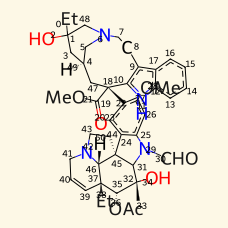 CCC1(O)C[C@H]2CN(CCc3c([nH]c4ccccc34)[C@@](C(=O)OC)(c3cc4c(cc3OC)N(C=O)C3[C@](C)(O)[C@H](OC(C)=O)[C@]5(CC)C=CCN6CC[C@]43[C@@H]65)C2)C1